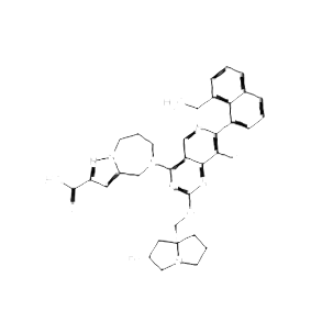 CCc1cccc2cccc(-c3ncc4c(N5CCCn6nc(C(=O)O)cc6C5)nc(OC[C@@]56CCCN5C[C@H](F)C6)nc4c3F)c12